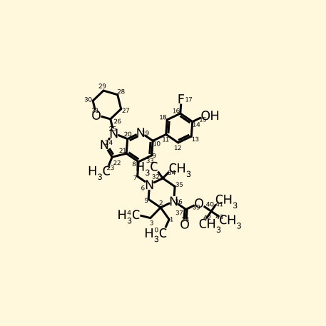 CCC1(CC)CN(Cc2cc(-c3ccc(O)c(F)c3)nc3c2c(C)nn3C2CCCCO2)C(C)(C)CN1C(=O)OC(C)(C)C